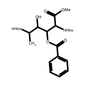 CCCCCCC(C)C(O)C(OC(=O)c1ccccc1)C(CCCCCC)C(=O)OC